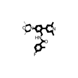 Cc1cc(-c2ccc(N3C[C@@H](C)O[C@@H](C)C3)cc2CNC(=O)c2ccc(F)cc2C)cc(C)n1